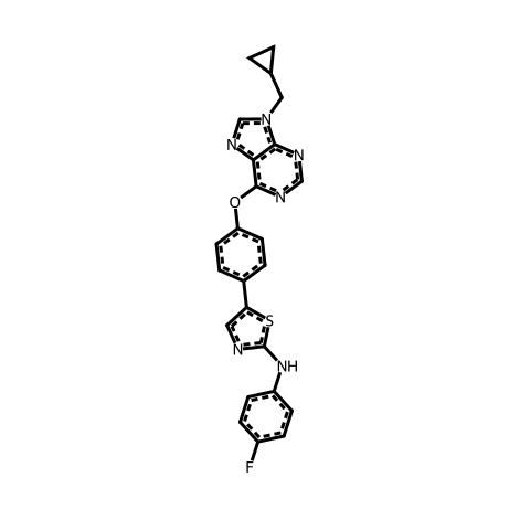 Fc1ccc(Nc2ncc(-c3ccc(Oc4ncnc5c4ncn5CC4CC4)cc3)s2)cc1